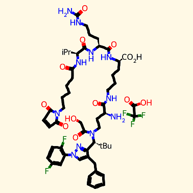 CC(C)[C@H](NC(=O)CCCCCN1C(=O)C=CC1=O)C(=O)N[C@@H](CCCNC(N)=O)C(=O)N[C@@H](CCCCNC(=O)[C@@H](N)CCN(C(=O)CO)[C@@H](c1nn(-c2cc(F)ccc2F)cc1Cc1ccccc1)C(C)(C)C)C(=O)O.O=C(O)C(F)(F)F